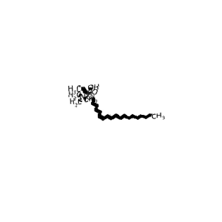 CCCCCCCCCCCC/C=C\CCCCCOP(=O)(O)C(CC)[N+](C)(C)C